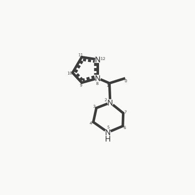 CC(N1CCNCC1)n1cccn1